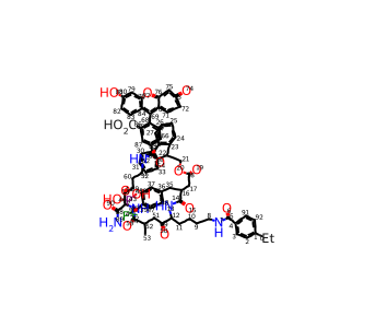 CCc1ccc(C(=O)NCCCCC(NC(=O)C(CC(=O)OCC2c3ccccc3-c3ccccc32)Cc2ccc(C(F)(F)P(=O)(O)O)cc2)C(=O)CC(C)C(=O)NC(CCCCNC(=O)c2ccc(-c3c4ccc(=O)cc-4oc4cc(O)ccc34)c(C(=O)O)c2)C(N)=O)cc1